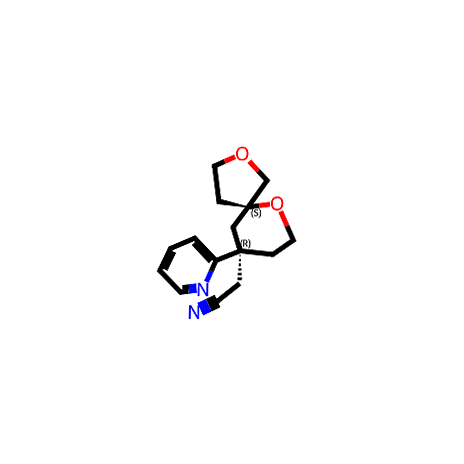 N#CC[C@@]1(c2ccccn2)CCO[C@]2(CCOC2)C1